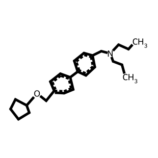 CCCN(CCC)Cc1ccc(-c2ccc(COC3CCCC3)cc2)cc1